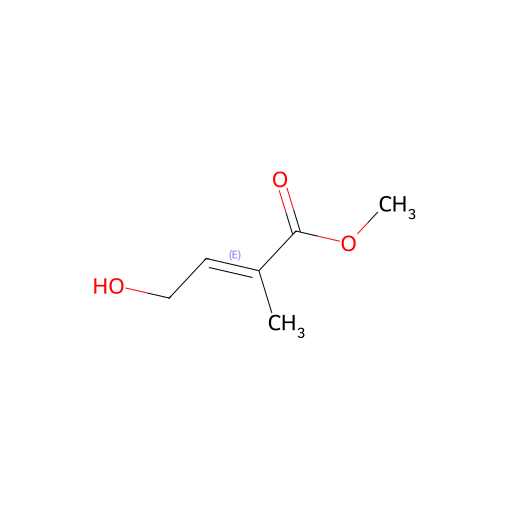 COC(=O)/C(C)=C/CO